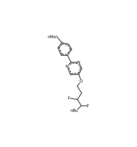 CCCCCCCCCc1ccc(-c2ncc(OCCC(F)C(F)CCCC)cn2)cc1